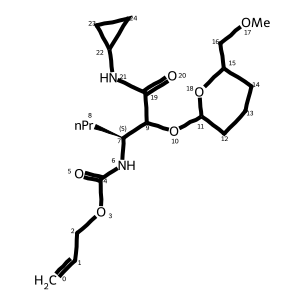 C=CCOC(=O)N[C@@H](CCC)C(OC1CCCC(COC)O1)C(=O)NC1CC1